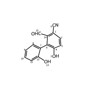 N#Cc1ccc(O)c(-c2ccccc2O)c1C=O